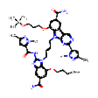 CCn1nc(C)cc1C(=O)Nc1nc2cc(C(N)=O)cc(OCCCOC)c2n1C/C=C/Cn1c2nc(-c3cc(C)nn3CC)ncc2c2cc(C(N)=O)cc(OCCCO[Si](C)(C)C(C)(C)C)c21